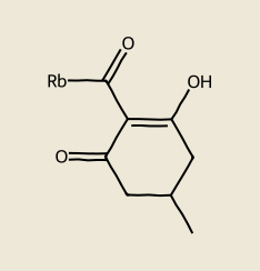 CC1CC(=O)C([C](=O)[Rb])=C(O)C1